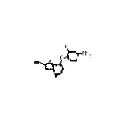 C#Cc1cc2nccc(Oc3ccc(N)cc3F)c2s1